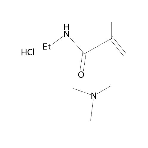 C=C(C)C(=O)NCC.CN(C)C.Cl